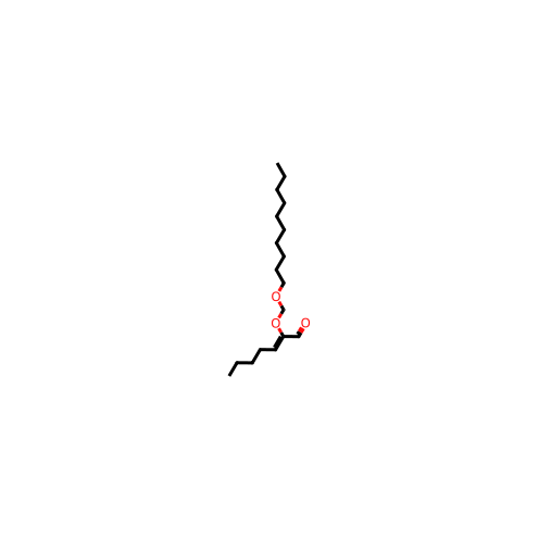 CCCCC=C(C=O)OCOCCCCCCCCCC